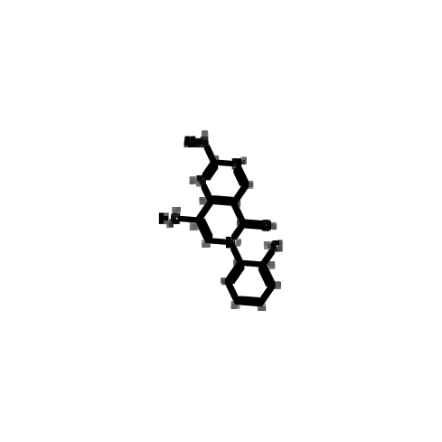 CSc1ncc2c(=O)n(-c3ccccc3Cl)cc(C)c2n1